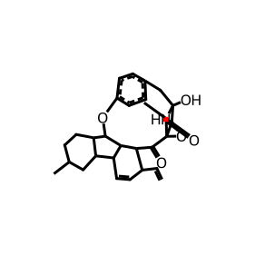 C=CC1C=CC2C3CC(C)CCC3C3Oc4ccc(cc4)CC4(O)NC(=O)C5(OC45)C(=O)C1C23